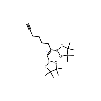 C#CCCCC/C(=C/B1OC(C)(C)C(C)(C)O1)B1OC(C)(C)C(C)(C)O1